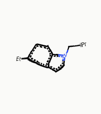 CCc1ccc2c(ccn2CC(C)C)c1